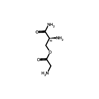 NCC(=O)OC[C@H](N)C(N)=O